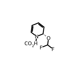 O=C(O)N1C=CC=C[C@@H]1OC(F)F